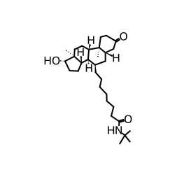 CC(C)(C)NC(=O)CCCCCCC[C@@H]1C[C@H]2CC(=O)CC[C@]2(C)[C@H]2CC[C@]3(C)[C@@H](O)CC[C@H]3[C@H]12